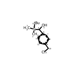 CC(C)(C)[Si](C)(C)C(O)c1ccc(CCl)cc1